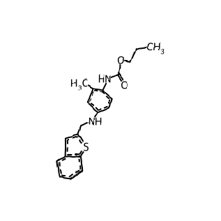 CCCOC(=O)Nc1ccc(NCc2cc3ccccc3s2)cc1C